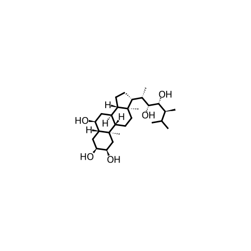 CC(C)[C@H](C)[C@@H](O)[C@H](O)[C@@H](C)[C@H]1CC[C@H]2[C@@H]3C[C@H](O)[C@H]4C[C@H](O)[C@H](O)C[C@]4(C)[C@H]3CC[C@]12C